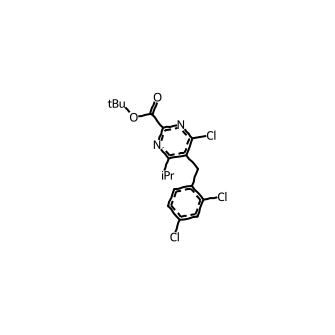 CC(C)c1nc(C(=O)OC(C)(C)C)nc(Cl)c1Cc1ccc(Cl)cc1Cl